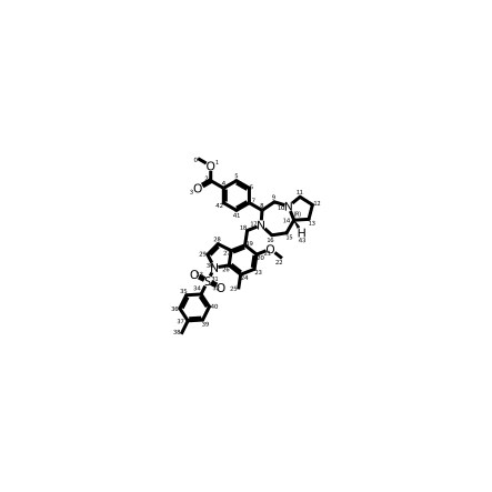 COC(=O)c1ccc(C2CN3CCC[C@@H]3CCN2Cc2c(OC)cc(C)c3c2ccn3S(=O)(=O)c2ccc(C)cc2)cc1